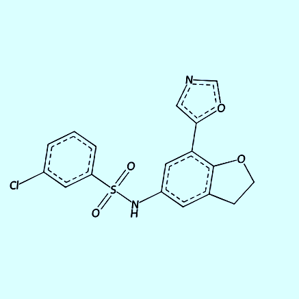 O=S(=O)(Nc1cc2c(c(-c3cnco3)c1)OCC2)c1cccc(Cl)c1